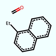 C=O.CCc1cccc2ccccc12